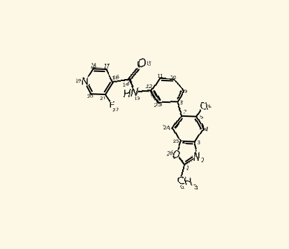 Cc1nc2cc(Cl)c(-c3cccc(NC(=O)c4ccncc4F)c3)cc2o1